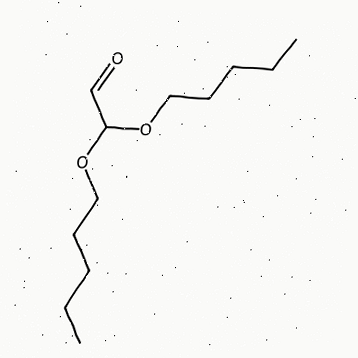 CCCCCOC(C=O)OCCCCC